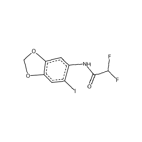 O=C(Nc1cc2c(cc1I)OCO2)C(F)F